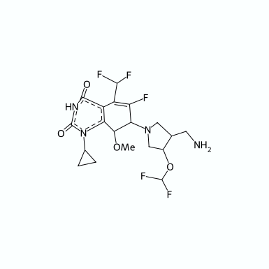 COC1c2c(c(=O)[nH]c(=O)n2C2CC2)C(C(F)F)=C(F)C1N1CC(CN)C(OC(F)F)C1